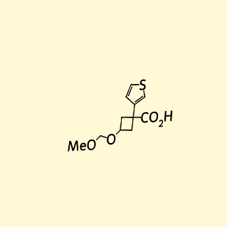 COCOC1CC(C(=O)O)(c2ccsc2)C1